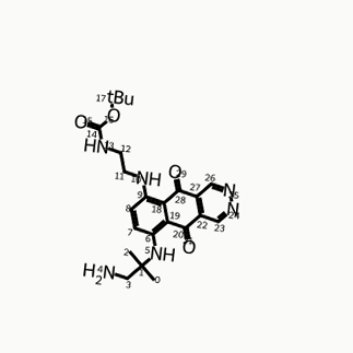 CC(C)(CN)Nc1ccc(NCCNC(=O)OC(C)(C)C)c2c1C(=O)c1cnncc1C2=O